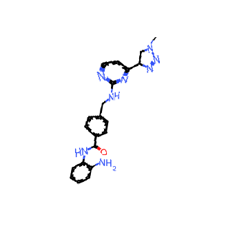 CN1CC(c2ccnc(NCc3ccc(C(=O)Nc4ccccc4N)cc3)n2)N=N1